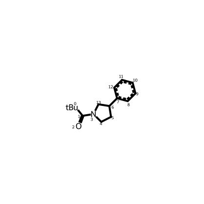 CC(C)(C)C(=O)N1CCC(c2ccccc2)C1